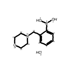 Cl.OB(O)c1ccccc1CN1CCOCC1